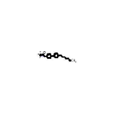 CCCCCCCc1ccc(-c2ccc(/C=C(\Cl)C(F)(F)F)cc2)cc1